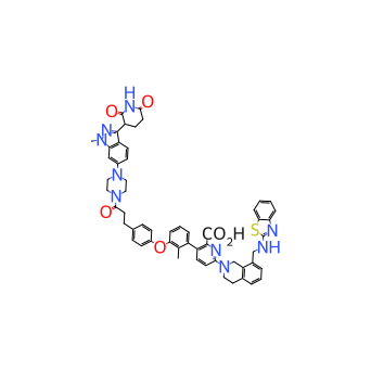 Cc1c(Oc2ccc(CCC(=O)N3CCN(c4ccc5c(C6CCC(=O)NC6=O)nn(C)c5c4)CC3)cc2)cccc1-c1ccc(N2CCc3cccc(CNc4nc5ccccc5s4)c3C2)nc1C(=O)O